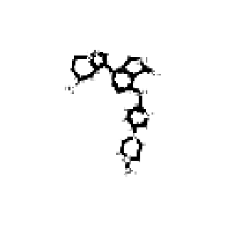 C[C@H]1CCn2ncc(-c3ccc(Nc4ccc(N5CCN(C)CC5)cn4)c4c3CNC4=O)c2C1